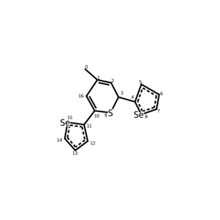 CC1=CC(c2ccc[se]2)SC(c2ccc[se]2)=C1